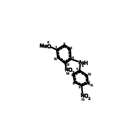 COc1ccc([AsH]c2ccc([N+](=O)[O-])nc2)c([N+](=O)[O-])c1